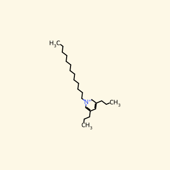 CCCCCCCCCCCCC[n+]1cc(CCC)cc(CCC)c1